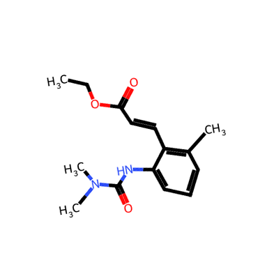 CCOC(=O)C=Cc1c(C)cccc1NC(=O)N(C)C